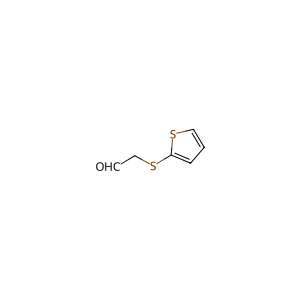 O=CCSc1cccs1